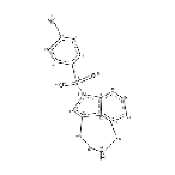 N#Cc1ccc(S(=O)(=O)n2cc3c4c(cccc42)CNCC3)cc1